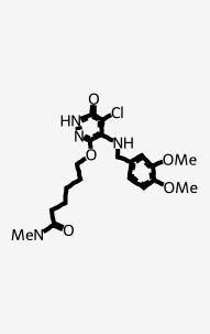 CNC(=O)CCCCCOc1n[nH]c(=O)c(Cl)c1NCc1ccc(OC)c(OC)c1